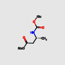 COC(=O)C[C@@H](C)NC(=O)OC(C)(C)C